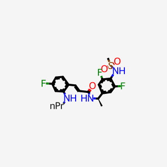 CCCNc1cc(F)ccc1/C=C/C(=O)N[C@H](C)c1cc(F)c(NS(C)(=O)=O)c(F)c1